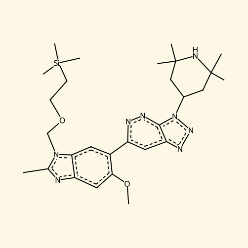 COc1cc2nc(C)n(COCC[Si](C)(C)C)c2cc1-c1cc2nnn(C3CC(C)(C)NC(C)(C)C3)c2nn1